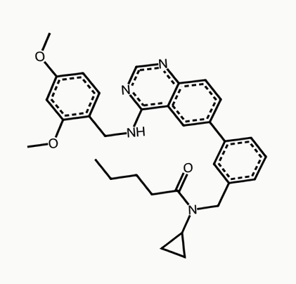 CCCCC(=O)N(Cc1cccc(-c2ccc3ncnc(NCc4ccc(OC)cc4OC)c3c2)c1)C1CC1